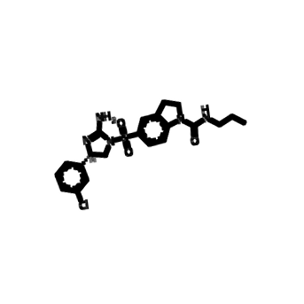 CCCNC(=O)N1CCc2cc(S(=O)(=O)N3C[C@H](c4cccc(Cl)c4)N=C3N)ccc21